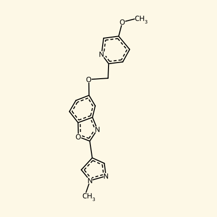 COc1ccc(COc2ccc3oc(-c4cnn(C)c4)nc3c2)nc1